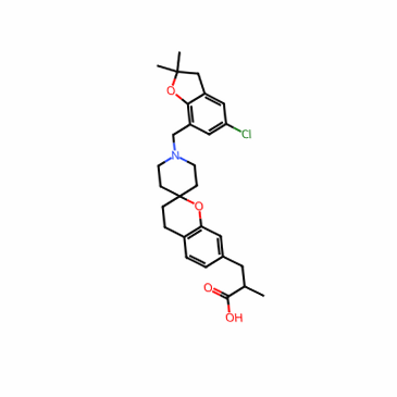 CC(Cc1ccc2c(c1)OC1(CC2)CCN(Cc2cc(Cl)cc3c2OC(C)(C)C3)CC1)C(=O)O